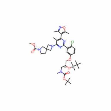 COC(=O)N1CCC2(C1)CN(c1nc(-c3cc(OC[C@@H](CN(C)C(=O)OC(C)(C)C)O[Si](C)(C)C(C)(C)C)ccc3Cl)nc(-c3c(C)noc3C)c1C)C2